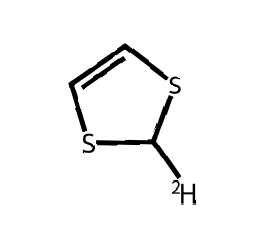 [2H]C1SC=CS1